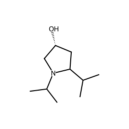 CC(C)C1C[C@@H](O)CN1C(C)C